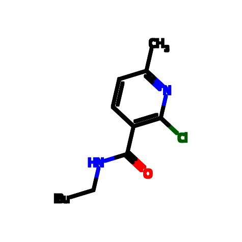 CCC(C)CNC(=O)c1ccc(C)nc1Cl